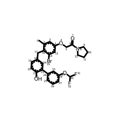 Cc1cc(OCC(=O)N2CCCC2)cc(Br)c1Cc1ccc(O)c(-c2cccc(OC(F)F)c2)c1